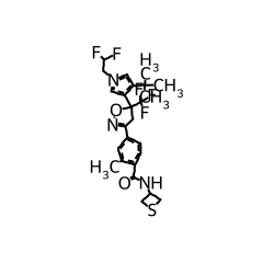 Cc1cc(C2=NOC(c3cn(CC(F)F)cc3C(C)(C)C)(C(F)(F)F)C2)ccc1C(=O)NC1CSC1